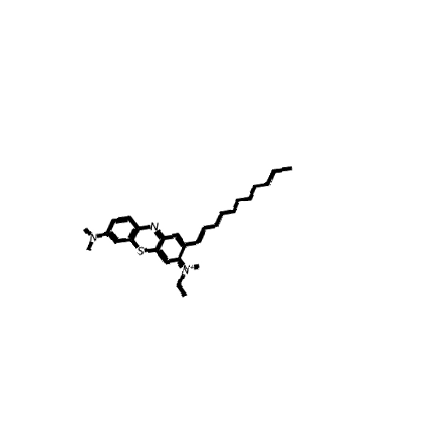 CCCCCCCCC/C=C/c1cc2nc3ccc(N(C)C)cc3sc-2c/c1=[N+](/C)CC